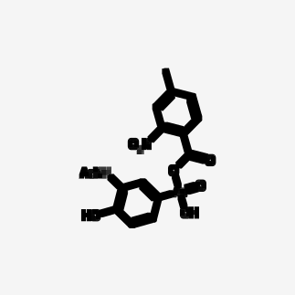 CC(=O)Nc1cc([As](=O)(O)OC(=O)c2ccc(C)cc2[N+](=O)[O-])ccc1O